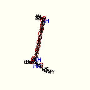 CC(C)Cc1ccc(CCCC(=O)NCCCCC(NC(=O)CCOCCOCCOCCOCCOCCOCCOCCOCCNC(=O)OCc2ccccc2)C(=O)OC(C)(C)C)cc1